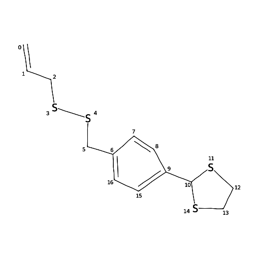 C=CCSSCc1ccc(C2SCCS2)cc1